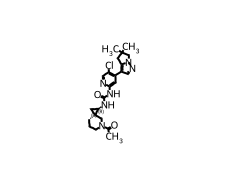 CC(=O)N1CCC[C@@]2(C[C@H]2NC(=O)Nc2cc(-c3cnn4c3CC(C)(C)C4)c(Cl)cn2)C1